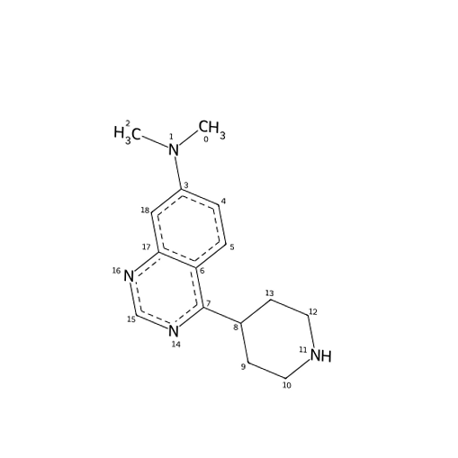 CN(C)c1ccc2c(C3CCNCC3)ncnc2c1